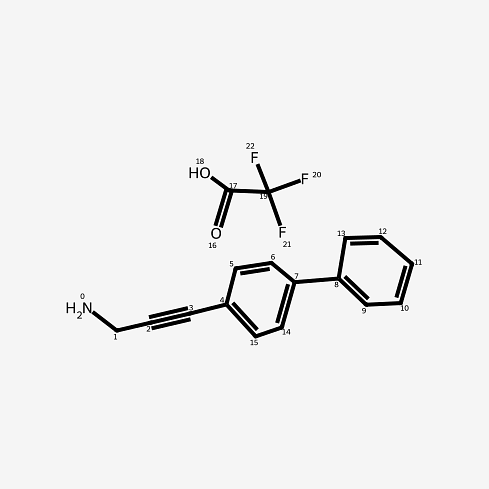 NCC#Cc1ccc(-c2ccccc2)cc1.O=C(O)C(F)(F)F